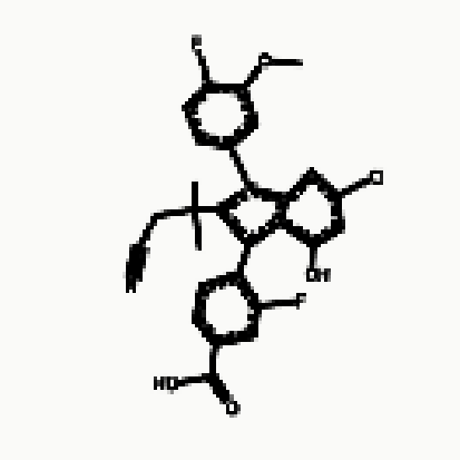 COc1cc(-n2c(C(C)(C)CC#N)c(-c3ccc(C(=O)O)cc3F)c3c(O)cc(Cl)cc32)ccc1F